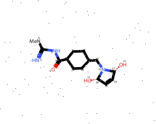 CNC(=N)NC(=O)C1CCC(CN2[C@H](O)C=C[C@@H]2O)CC1